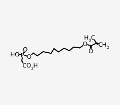 C=C(C)C(=O)OCCCCCCCCCCOP(=O)(O)CC(=O)O